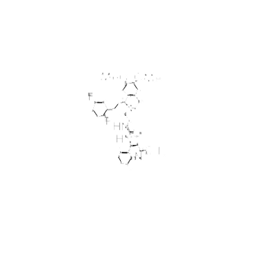 COc1cc2c(cc1OC)C(C=Cc1cc(F)ccc1F)N(CCNC(=O)Nc1cc(C)nc3ccccc13)CC2